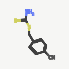 N#Cc1ccc(CSC(N)=S)cc1